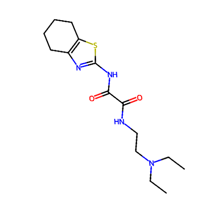 CCN(CC)CCNC(=O)C(=O)Nc1nc2c(s1)CCCC2